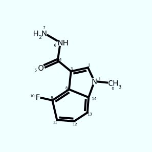 Cn1cc(C(=O)NN)c2c(F)cccc21